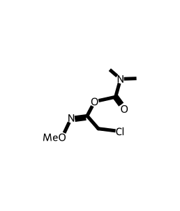 CO/N=C(\CCl)OC(=O)N(C)C